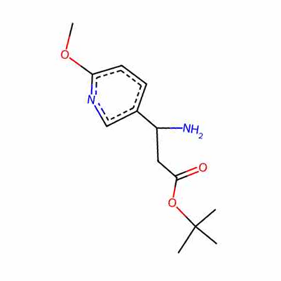 COc1ccc(C(N)CC(=O)OC(C)(C)C)cn1